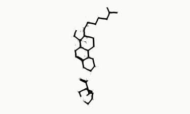 CC(C)CCC[C@@H](C)[C@H]1CC[C@H]2[C@@H]3CC=C4C[C@@H](OC(=O)C5CN6CCC5CC6)CC[C@]4(C)C3CC[C@]12C